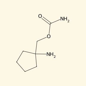 NC(=O)OCC1(N)CCCC1